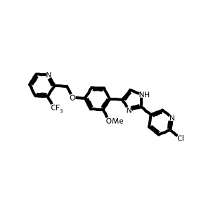 COc1cc(OCc2ncccc2C(F)(F)F)ccc1-c1c[nH]c(-c2ccc(Cl)nc2)n1